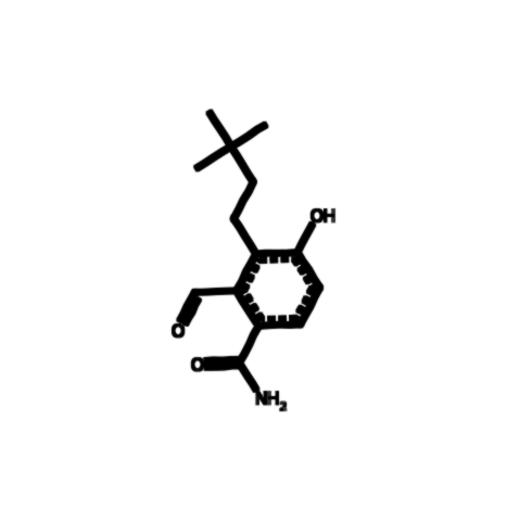 CC(C)(C)CCc1c(O)ccc(C(N)=O)c1C=O